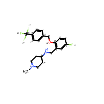 CN1CCC(NCc2cc(F)ccc2OCc2ccc(C(F)(F)F)cc2)CC1